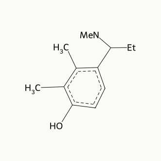 CCC(NC)c1ccc(O)c(C)c1C